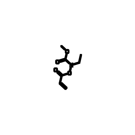 C=CC(=O)ON(CC)C(=O)OC